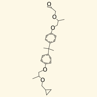 CC(COc1ccc(C(C)(C)c2ccc(OCC(C)OCC3CO3)cc2)cc1)OCC1CC1